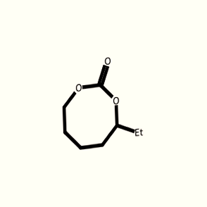 CCC1CCCCOC(=O)O1